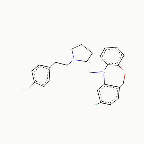 COc1ccc(CCN2CCC[C@@H]2CN2c3cc(F)ccc3COc3ccccc32)cc1.Cl